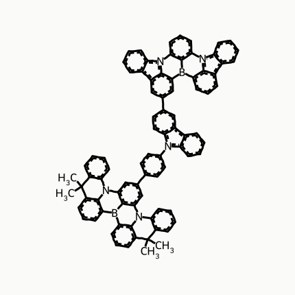 CC1(C)c2ccccc2N2c3cc(-c4ccc(-n5c6ccccc6c6cc(-c7cc8c9c(c7)c7ccccc7n9-c7cccc9c7B8c7cccc8c%10ccccc%10n-9c78)ccc65)cc4)cc4c3B(c3cccc1c32)c1cccc2c1N4c1ccccc1C2(C)C